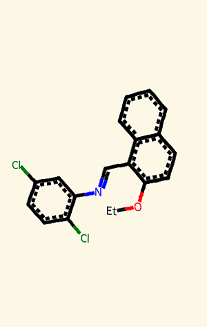 CCOc1ccc2ccccc2c1/C=N/c1cc(Cl)ccc1Cl